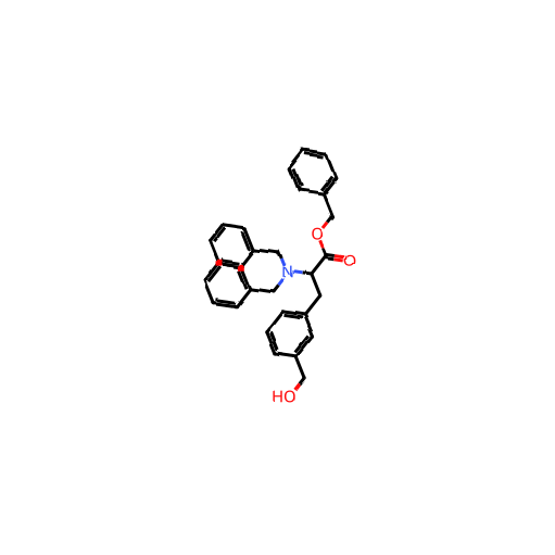 O=C(OCc1ccccc1)C(Cc1cccc(CO)c1)N(Cc1ccccc1)Cc1ccccc1